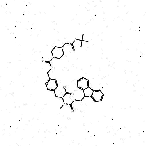 CN(C(=O)OCC1c2ccccc2-c2ccccc21)[C@@H](Cc1ccc(CNC(=O)N2CCN(CC(=O)OC(C)(C)C)CC2)cc1)C(=O)O